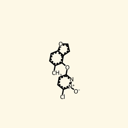 Cc1ccc2occc2c1Oc1ccc(Cl)[n+]([O-])n1